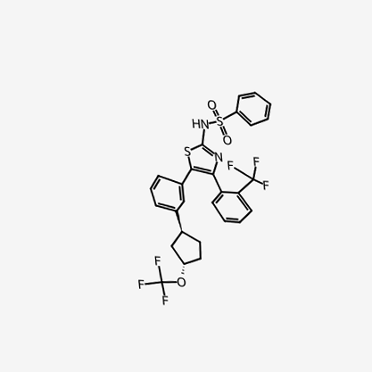 O=S(=O)(Nc1nc(-c2ccccc2C(F)(F)F)c(-c2cccc([C@H]3CC[C@H](OC(F)(F)F)C3)c2)s1)c1ccccc1